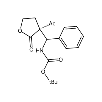 CC(=O)[C@@]1(C(NC(=O)OC(C)(C)C)c2ccccc2)CCOC1=O